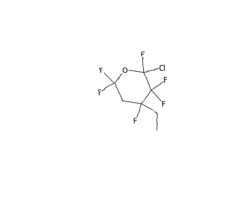 CCC1(F)CC(F)(F)OC(F)(Cl)C1(F)F